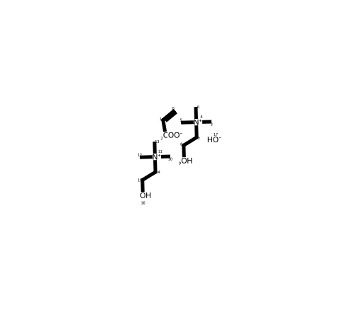 C=CC(=O)[O-].C[N+](C)(C)CCO.C[N+](C)(C)CCO.[OH-]